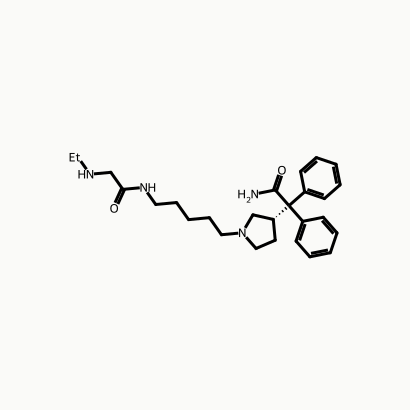 CCNCC(=O)NCCCCCN1CC[C@@H](C(C(N)=O)(c2ccccc2)c2ccccc2)C1